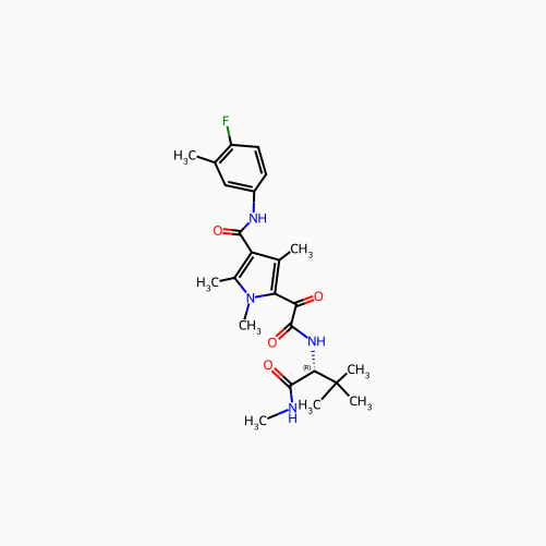 CNC(=O)[C@H](NC(=O)C(=O)c1c(C)c(C(=O)Nc2ccc(F)c(C)c2)c(C)n1C)C(C)(C)C